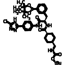 CC(C)(C)OC(=O)NC[C@H]1CC[C@H](C(=O)N[C@@H](Cc2cccc(B3OC(C)(C)C(C)(C)O3)c2)C(=O)Nc2ccc(-c3nnc(Cl)[nH]3)cc2)CC1